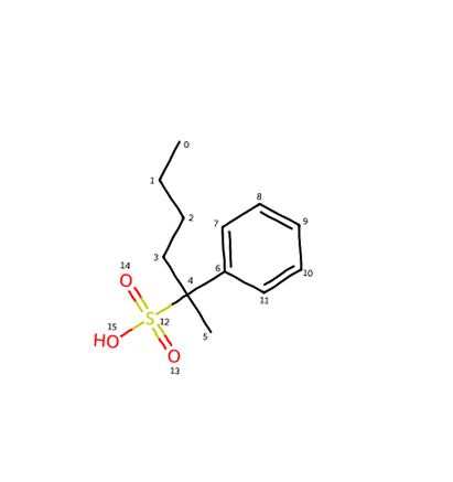 CCCCC(C)(c1ccccc1)S(=O)(=O)O